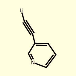 [Li][C]#Cc1cccnc1